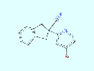 N#CC1(c2cc(Br)ccn2)Cc2ccccc2C1